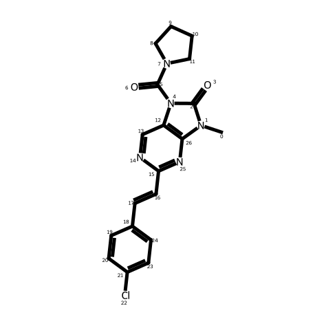 Cn1c(=O)n(C(=O)N2CCCC2)c2cnc(C=Cc3ccc(Cl)cc3)nc21